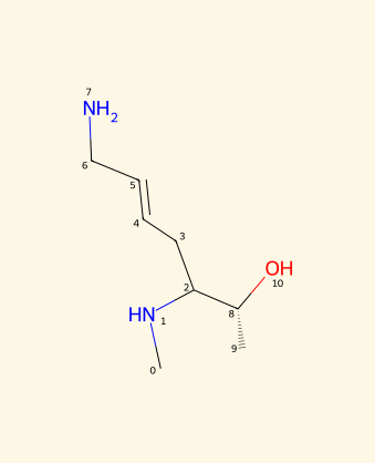 CNC(C/C=C/CN)[C@@H](C)O